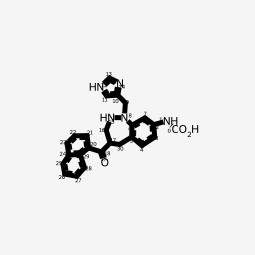 O=C(O)Nc1ccc2c(c1)N(Cc1c[nH]cn1)NCC(C(=O)c1cccc3ccccc13)C2